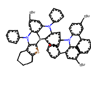 CC(C)(C)c1ccc(N(c2ccc3c(c2)N(c2ccccc2)c2cc(C(C)(C)C)cc4c2B3c2sc3c(c2N4c2ccccc2)CCCC3)c2ccc(C(C)(C)C)cc2-c2ccccc2)c(-c2ccccc2)c1